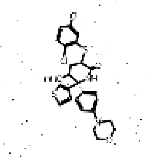 O=CC1CC(Sc2cc(Cl)ccc2Cl)C(=O)N[C@@]1(c1ccc(N2CCOCC2)cc1)c1ccsc1